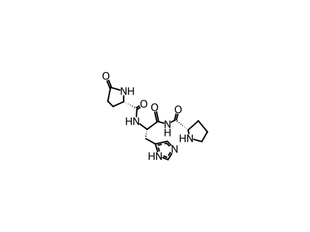 O=C1CC[C@@H](C(=O)N[C@@H](Cc2cnc[nH]2)C(=O)NC(=O)[C@@H]2CCCN2)N1